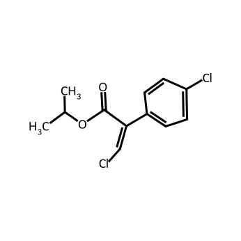 CC(C)OC(=O)C(=CCl)c1ccc(Cl)cc1